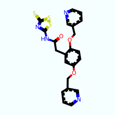 O=C(Cc1cc(OCc2cccnc2)ccc1OCc1cccnc1)Nc1nc(=S)ss1